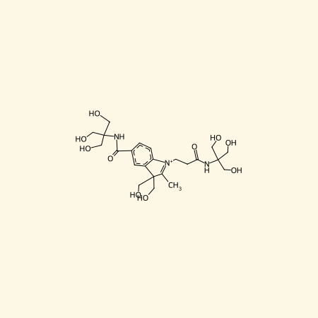 CC1=[N+](CCC(=O)NC(CO)(CO)CO)c2ccc(C(=O)NC(CO)(CO)CO)cc2C1(CO)CO